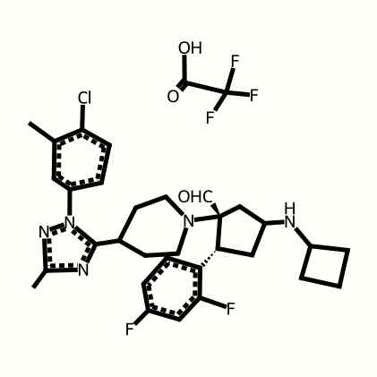 Cc1nc(C2CCN([C@]3(C=O)CC(NC4CCC4)C[C@@H]3c3ccc(F)cc3F)CC2)n(-c2ccc(Cl)c(C)c2)n1.O=C(O)C(F)(F)F